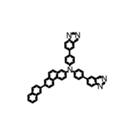 c1ccc2cc(-c3ccc4c(ccc5cc(N(c6ccc(-c7ccc8ncncc8c7)cc6)c6ccc(-c7ccc8ncncc8c7)cc6)ccc54)c3)ccc2c1